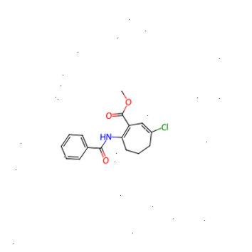 COC(=O)C1=C(NC(=O)c2ccccc2)CCCC(Cl)=C1